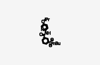 CCCCS(=O)(=O)[C@@H]1CCC[C@@H](C(=O)Nc2ccc(OC(C)C)cn2)C1